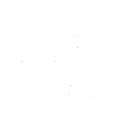 CCOC(=O)C(C)(C)NP(=O)(NC(C)(C)C(=O)OCC)c1ccc(C(NC(=O)c2cnc(-c3ccccn3)nc2O)c2ccc(OC)cc2)cc1